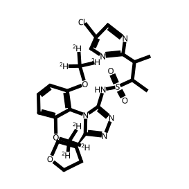 [2H]C([2H])([2H])Oc1cccc(OC([2H])([2H])[2H])c1-n1c(NS(=O)(=O)C(C)C(C)c2ncc(Cl)cn2)nnc1[C@H]1CCOC1